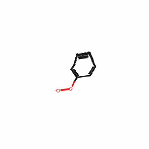 [O]Oc1ccccc1